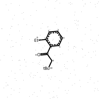 CCc1ccccc1C(=O)CC(C)(C)C